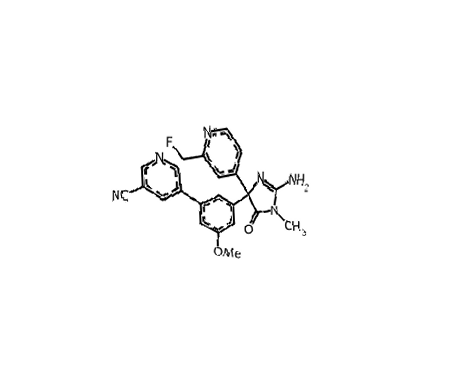 COc1cc(-c2cncc(C#N)c2)cc(C2(c3ccnc(CF)c3)N=C(N)N(C)C2=O)c1